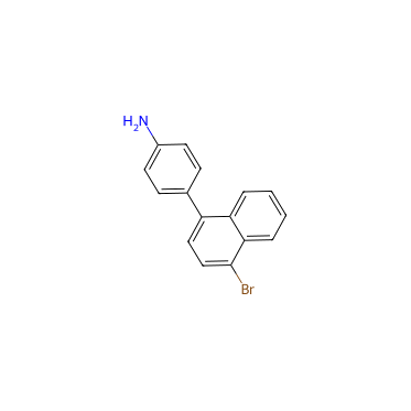 Nc1ccc(-c2ccc(Br)c3ccccc23)cc1